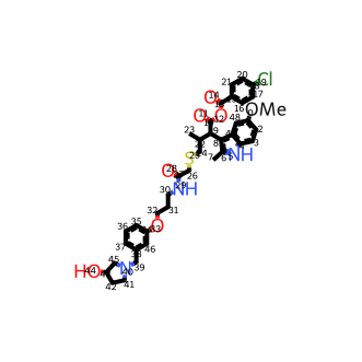 COc1ccc2[nH]c(C)c(C(C(=O)OC(=O)c3ccc(Cl)cc3)C(C)CSCC(=O)NCCCOc3cccc(CN4CCC(O)C4)c3)c2c1